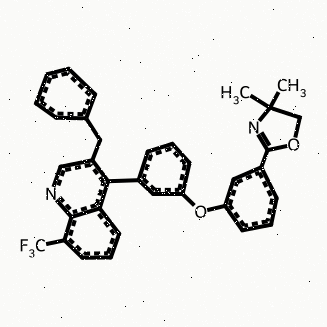 CC1(C)COC(c2cccc(Oc3cccc(-c4c(Cc5ccccc5)cnc5c(C(F)(F)F)cccc45)c3)c2)=N1